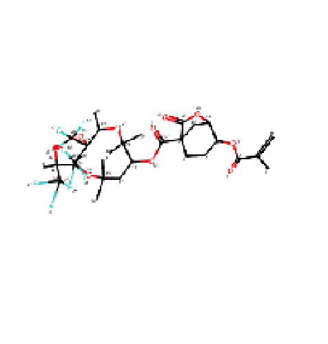 C=C(C)C(=O)OC1CCC2(C(=O)OC(CC(C)(C)OC(C)C(C)(O)C(F)(F)F)C(C)(C)OC(C)C(O)(C(F)(F)F)C(F)(F)F)CC1OC2=O